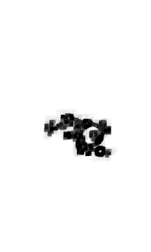 Cc1c2ccc(c1Cl)NC(=O)Cc1ccc(OCc3ccnc(OCCC(F)(F)F)n3)c(c1)C[C@H](C(=O)O)Oc1ncnc3sc(-c4ccc(F)cc4)c-2c13